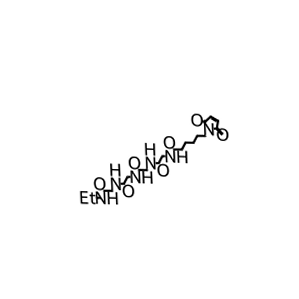 CCNC(=O)CNC(=O)CNC(=O)CNC(=O)CNC(=O)CCCCCN1C(=O)C=CC1=O